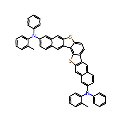 Cc1ccccc1N(c1ccccc1)c1ccc2cc3c(cc2c1)sc1c3ccc2sc3cc4cc(N(c5ccccc5)c5ccccc5C)ccc4cc3c21